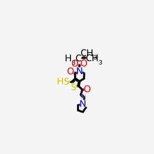 CC(C)(C)OC(=O)N1CCc2c(C(=O)/C=C/N3CCCC3)sc(S)c2C1=O